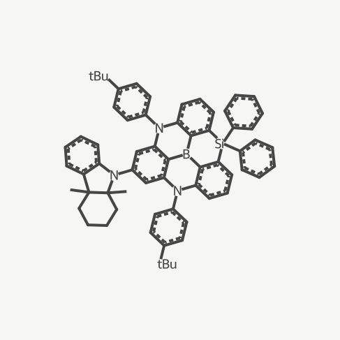 CC(C)(C)c1ccc(N2c3cc(N4c5ccccc5C5(C)CCCCC45C)cc4c3B3c5c2cccc5[Si](c2ccccc2)(c2ccccc2)c2cccc(c23)N4c2ccc(C(C)(C)C)cc2)cc1